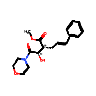 COC(=O)[C@H](CC=Cc1ccccc1)[C@H](O)C(=O)N1CCOCC1